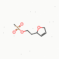 CS(=O)(=O)OCCC1C=CCO1